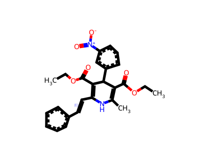 CCOC(=O)C1=C(C)NC(/C=C/c2ccccc2)=C(C(=O)OCC)C1c1cccc([N+](=O)[O-])c1